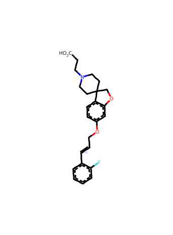 O=C(O)CCN1CCC2(CC1)COc1cc(OC/C=C/c3ccccc3F)ccc12